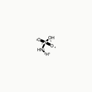 [2H]NS(=O)(=O)O